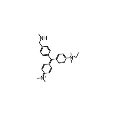 CC[N+](C)(C)c1ccc(C(=C2C=CC(=[N+](C)C)C=C2)c2ccc(CNC)cc2)cc1